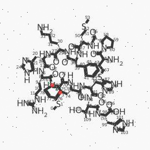 CSCC[C@H](NC(=O)[C@H](CCCNC(=N)N)NC(=O)[C@H](Cc1c[nH]cn1)NC(=O)[C@H](CCCCN)NC(=O)[C@H](Cc1ccccc1)NC(=O)[C@H](CCSC)NC(=O)[C@@H]1CCCN1C(=O)[C@@H](N)CCSC)C(=O)N[C@@H](Cc1ccccc1)C(=O)N[C@@H](Cc1c[nH]cn1)C(=O)N[C@H](C(=O)N[C@@H](Cc1c[nH]cn1)C(=O)O)[C@@H](C)O